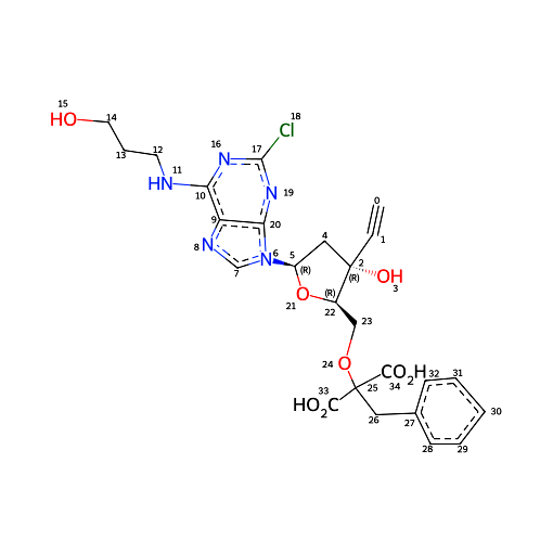 C#C[C@]1(O)C[C@H](n2cnc3c(NCCCO)nc(Cl)nc32)O[C@@H]1COC(Cc1ccccc1)(C(=O)O)C(=O)O